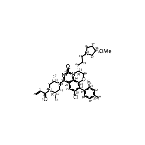 C=CC(=O)N1C[C@H](C)N(c2nc(=O)n3c4c(c(-c5ccc(F)cc5F)c(Cl)cc24)OC[C@H]3CCCN2CC[C@H](OC)C2)C[C@H]1C